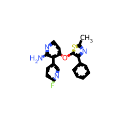 Cc1nc(-c2ccccc2)c(Oc2ccnc(N)c2-c2ccc(F)nc2)s1